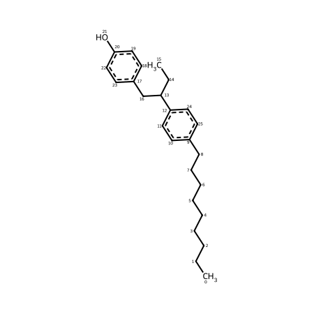 CCCCCCCCCc1ccc(C(CC)Cc2ccc(O)cc2)cc1